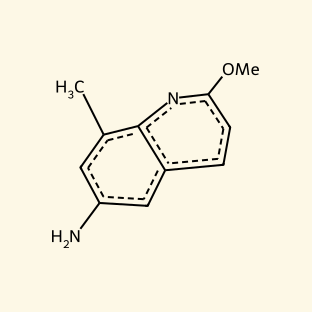 COc1ccc2cc(N)cc(C)c2n1